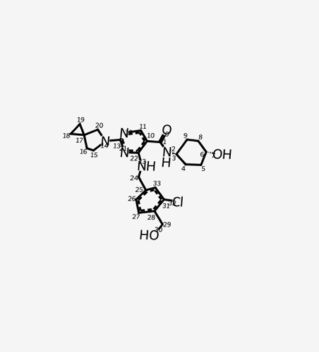 O=C(N[C@H]1CC[C@@H](O)CC1)c1cnc(N2CCC3(CC3)C2)nc1NCc1ccc(CO)c(Cl)c1